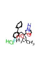 CC(C)CC(O)(Cc1cc(F)ccc1-c1ccccc1)C1CNCCO1.Cl